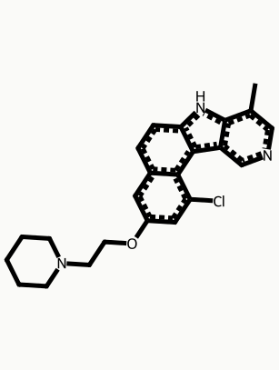 Cc1cncc2c1[nH]c1ccc3cc(OCCN4CCCCC4)cc(Cl)c3c12